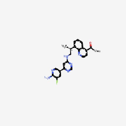 CNC(=O)c1ccnc2c([C@H](C)CNc3cc(-c4cnc(N)c(F)c4)ncn3)cccc12